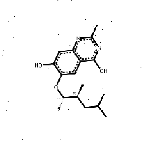 Cc1nc(O)c2cc(O[C@@H](C)[C@@H](C)CC(C)C)c(O)cc2n1